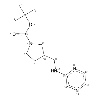 CC(C)(C)OC(=O)N1CCC(CNc2cnccn2)C1